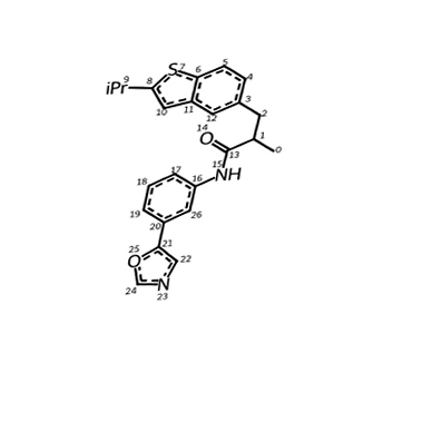 CC(Cc1ccc2sc(C(C)C)cc2c1)C(=O)Nc1cccc(-c2cnco2)c1